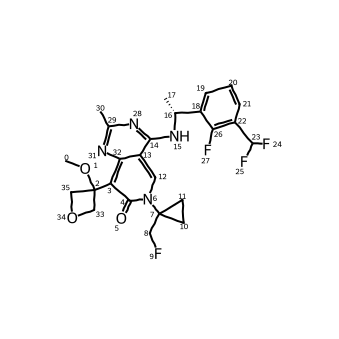 COC1(c2c(=O)n(C3(CF)CC3)cc3c(N[C@H](C)c4cccc(C(F)F)c4F)nc(C)nc23)COC1